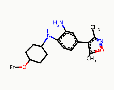 CCOC1CCC(Nc2ccc(-c3c(C)noc3C)cc2N)CC1